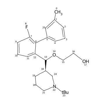 Cc1cccc(-c2c(F)cccc2C(OCCO)[C@@H]2CCCN(C(C)(C)C)C2)c1